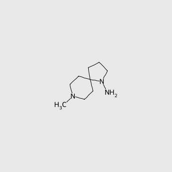 CN1CCC2(CCCN2N)CC1